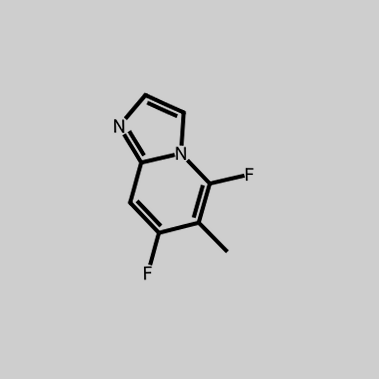 Cc1c(F)cc2nccn2c1F